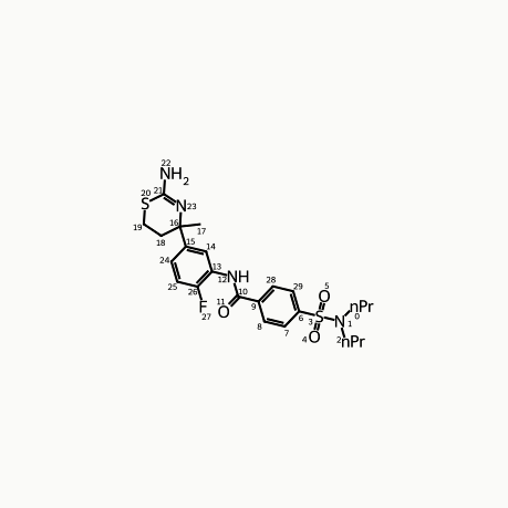 CCCN(CCC)S(=O)(=O)c1ccc(C(=O)Nc2cc(C3(C)CCSC(N)=N3)ccc2F)cc1